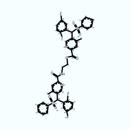 Cc1cc(C(=O)NCCOC(=O)c2cc(C)c(C(c3cc(F)ccc3F)S(=O)(=O)c3ccccc3)cn2)ncc1C(c1cc(F)ccc1F)S(=O)(=O)c1ccccc1